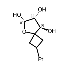 CCC1CC2(C1)O[C@H](O)[C@H](O)[C@H]2O